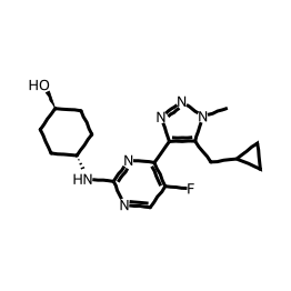 Cn1nnc(-c2nc(N[C@H]3CC[C@H](O)CC3)ncc2F)c1CC1CC1